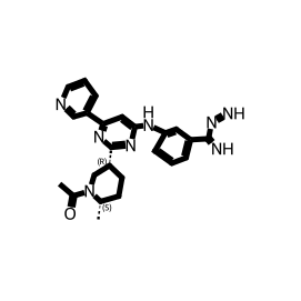 CC(=O)N1C[C@H](c2nc(Nc3cccc(C(=N)N=N)c3)cc(-c3cccnc3)n2)CC[C@@H]1C